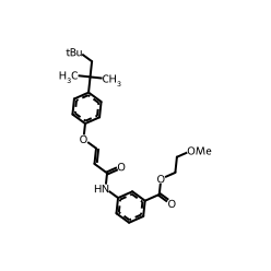 COCCOC(=O)c1cccc(NC(=O)C=COc2ccc(C(C)(C)CC(C)(C)C)cc2)c1